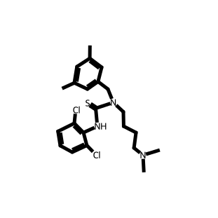 Cc1cc(C)cc(CN(CCCCN(C)C)C(=S)Nc2c(Cl)cccc2Cl)c1